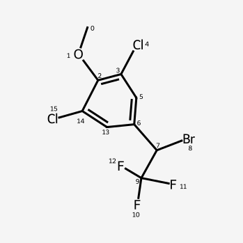 COc1c(Cl)cc(C(Br)C(F)(F)F)cc1Cl